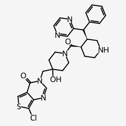 O=C([C@@H]1CCNC[C@@H]1C(c1ccccc1)c1cnccn1)N1CCC(O)(Cn2cnc3c(Cl)scc3c2=O)CC1